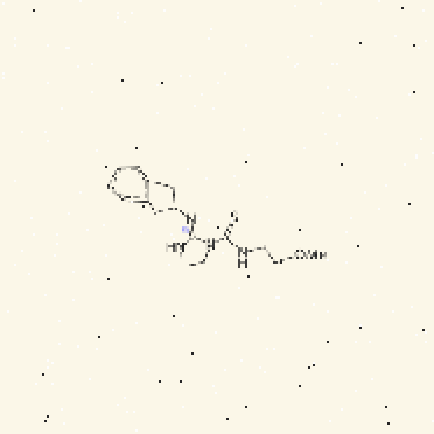 COCCNC(=S)N1CCN/C1=N\C1Cc2ccccc2C1